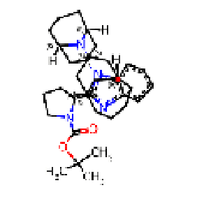 CC(C)(C)OC(=O)N1CCC[C@H]1c1nc2ccccc2n1[C@H]1C[C@H]2CCC[C@@H](C1)N2[C@@H]1C[C@@H]2CCCC[C@@H](C2)C1